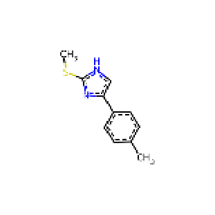 CSc1nc(-c2ccc(C)cc2)c[nH]1